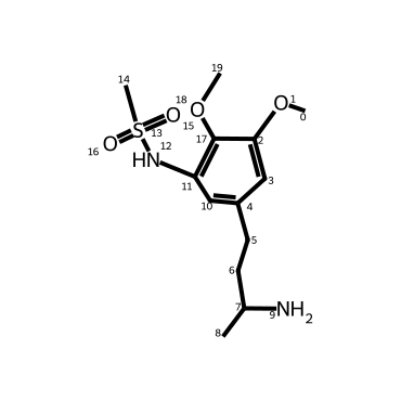 COc1cc(CCC(C)N)cc(NS(C)(=O)=O)c1OC